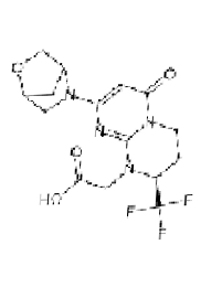 O=C(O)CN1c2nc(N3CC4CC3CO4)cc(=O)n2CC[C@H]1C(F)(F)F